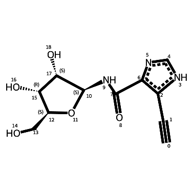 C#Cc1[nH]cnc1C(=O)N[C@H]1O[C@@H](CO)[C@H](O)[C@@H]1O